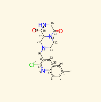 Cc1ccc2nc(Cl)c(CN3CCN4C(=O)CNC(=O)C4C3)cc2c1